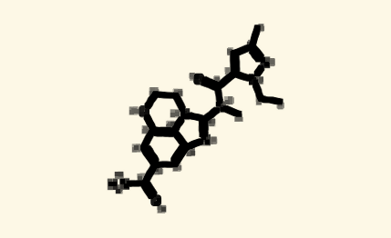 CCn1nc(C)cc1C(=O)N(C)c1nc2cc(C(N)=O)cc3c2n1CCO3